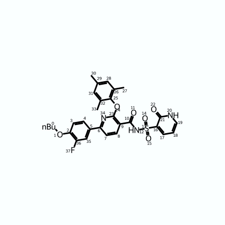 CCCCOc1ccc(-c2ccc(C(=O)NS(=O)(=O)c3ccc[nH]c3=O)c(Oc3c(C)cc(C)cc3C)n2)cc1F